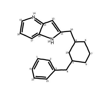 c1ccc(CC2CCCC(Cc3cc4ncccc4[nH]3)C2)cc1